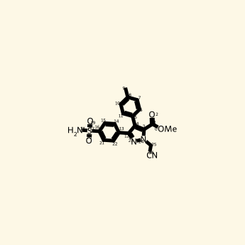 COC(=O)c1c(-c2ccc(C)cc2)c(-c2ccc(S(N)(=O)=O)cc2)nn1CC#N